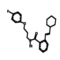 CCN(CCCOc1ccc(F)cc1)C(=O)c1ccccc1C=CC1CCCCC1